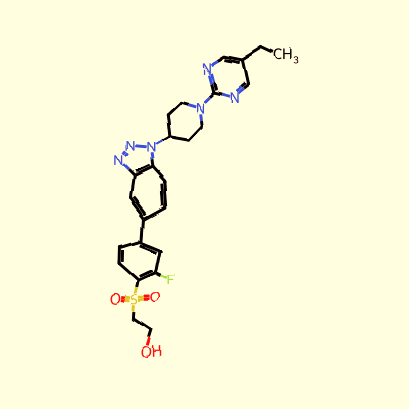 CCc1cnc(N2CCC(n3nnc4cc(-c5ccc(S(=O)(=O)CCO)c(F)c5)ccc43)CC2)nc1